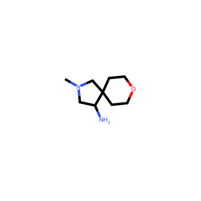 CN1CC(N)C2(CCOCC2)C1